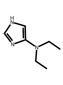 CCN(CC)c1c[nH][c]n1